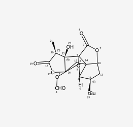 CCC12C(OC=O)OC34C(=O)OC(C[C@H]1C(C)(C)C)C23CC1OC(=O)[C@@H](C)[C@@]14O